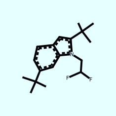 CC(C)(C)c1ccc2cc(C(C)(C)C)n(CC(F)F)c2c1